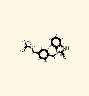 NC(=O)OCc1ccc(Cn2c(=O)[nH]c3ccccc32)cc1